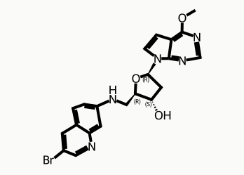 COc1ncnc2c1ccn2[C@H]1C[C@H](O)[C@@H](CNc2ccc3cc(Br)cnc3c2)O1